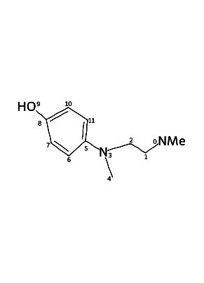 CNCCN(C)c1ccc(O)cc1